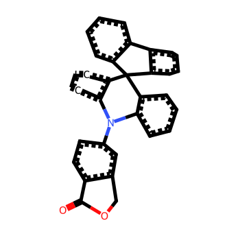 O=C1OCc2cc(N3c4ccccc4C4(c5ccccc5-c5ccccc54)c4ccccc43)ccc21